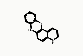 C1=CNC2=CCC3=C(Sc4ccccc4N3)C2=C1